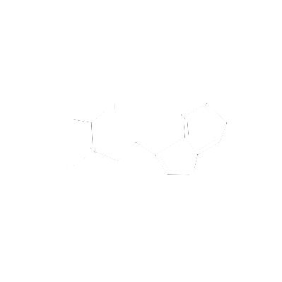 CC(C)N(C)CCc1csc2cccnc12